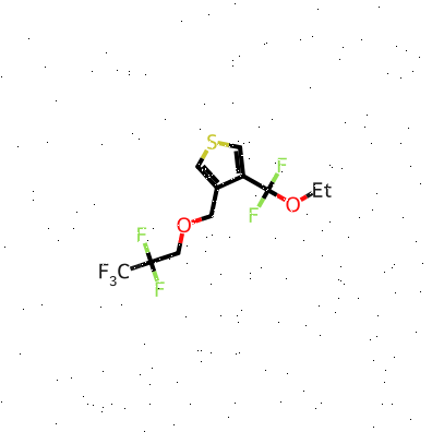 CCOC(F)(F)c1cscc1COCC(F)(F)C(F)(F)F